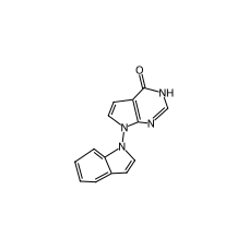 O=c1[nH]cnc2c1ccn2-n1ccc2ccccc21